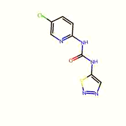 O=C(Nc1ccc(Cl)cn1)Nc1cnns1